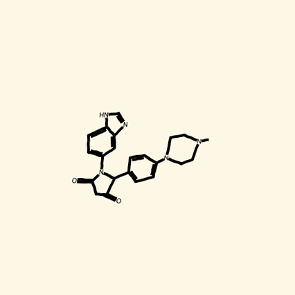 CN1CCN(c2ccc(C3C(=O)CC(=O)N3c3ccc4[nH]cnc4c3)cc2)CC1